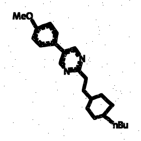 CCCCC1CCC(CCc2ncc(-c3ccc(OC)cc3)cn2)CC1